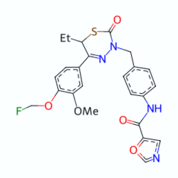 CCC1SC(=O)N(Cc2ccc(NC(=O)c3cnco3)cc2)N=C1c1ccc(OCF)c(OC)c1